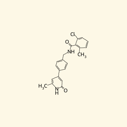 Cc1cc(-c2ccc(CNC(=O)c3c(C)cccc3Cl)cc2)cc(=O)[nH]1